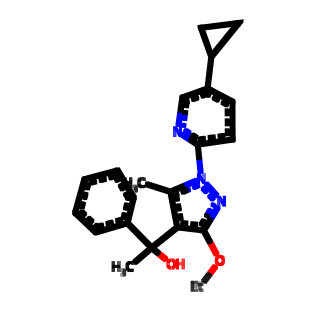 CCOc1nn(-c2ccc(C3CC3)cn2)c(C)c1C(C)(O)c1ccccc1